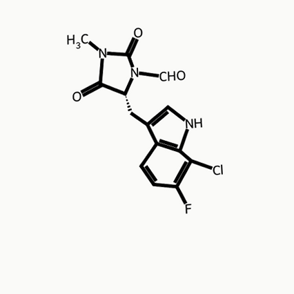 CN1C(=O)[C@@H](Cc2c[nH]c3c(Cl)c(F)ccc23)N(C=O)C1=O